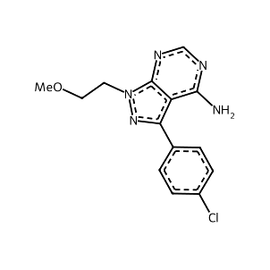 COCCn1nc(-c2ccc(Cl)cc2)c2c(N)ncnc21